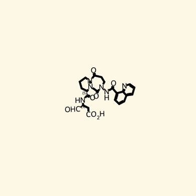 O=C[C@H](CC(=O)O)NC(=O)[C@@H]1CCCN2C(=O)CCN(NC(=O)c3cccc4cccnc34)C(=O)N12